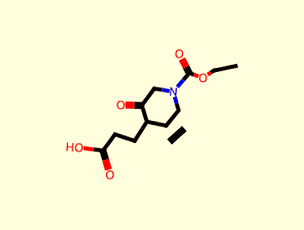 C=C.CCOC(=O)N1CCC(CCC(=O)O)C(=O)C1